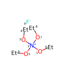 CCO[N+](OCC)(OCC)OCC.[F-]